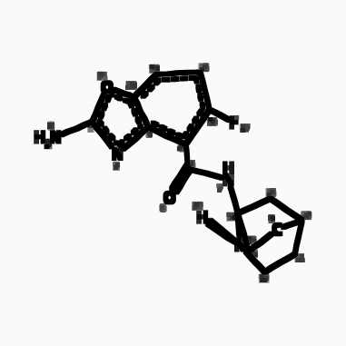 Nc1nc2c(C(=O)N[C@@H]3CC4CCN3CC4)c(F)ccc2o1